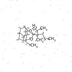 CCC1(OC(=O)C(C)(CSC)C(C)C)C2CC3CC(C2)CC1C3